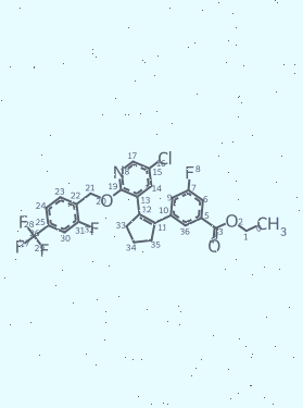 CCOC(=O)c1cc(F)cc(C2=C(c3cc(Cl)cnc3OCc3ccc(C(F)(F)F)cc3F)CCC2)c1